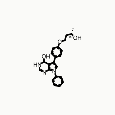 C[C@H](O)CCOc1ccc(-c2cn(-c3ccccc3)c3c2C(O)NC=N3)cc1